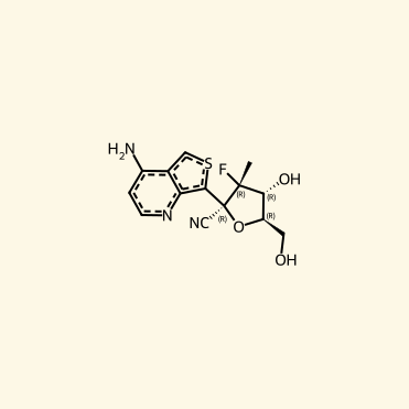 C[C@@]1(F)[C@H](O)[C@@H](CO)O[C@@]1(C#N)c1scc2c(N)ccnc12